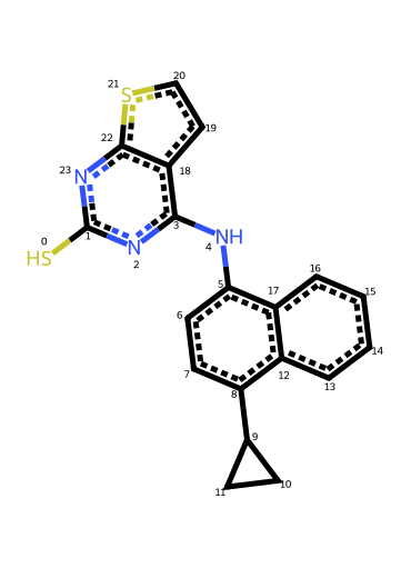 Sc1nc(Nc2ccc(C3CC3)c3ccccc23)c2ccsc2n1